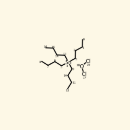 CCC[CH2][Sn]([CH2]CCC)([CH2]CCC)[CH2]CCC.ClOCl